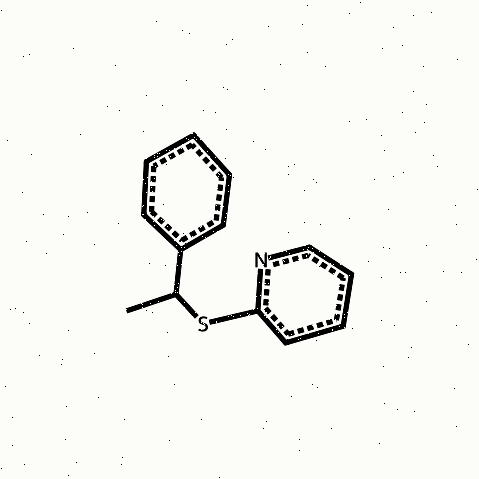 CC(Sc1ccccn1)c1ccccc1